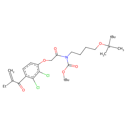 C=C(CC)C(=O)c1ccc(OCC(=O)N(CCCCO[Si](C)(C)C(C)(C)C)C(=O)OC(C)(C)C)c(Cl)c1Cl